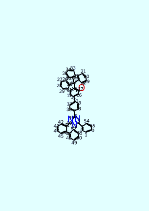 c1ccc(-c2nc(-c3ccc(-c4ccc5c(c4)Oc4ccccc4C5(c4ccccc4)c4ccccc4)cc3)nc(-c3ccccc3-c3ccccc3)n2)cc1